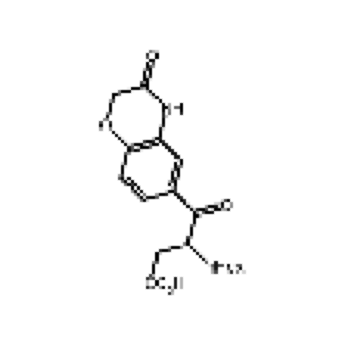 CCCCCCC(CC(=O)O)C(=O)c1ccc2c(c1)NC(=O)CO2